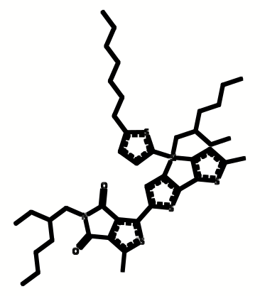 CCCCCCCc1ccc([Si]2(CC(CC)CCCC)c3cc(C)sc3-c3sc(-c4sc(C)c5c4C(=O)N(CC(CC)CCCC)C5=O)cc32)s1